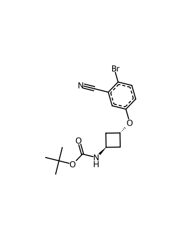 CC(C)(C)OC(=O)N[C@H]1C[C@H](Oc2ccc(Br)c(C#N)c2)C1